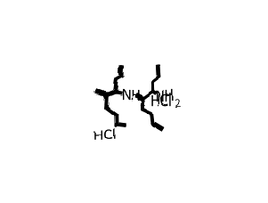 C=CCCC(=C)C(N)CC=C.C=CCCC(=C)C(N)CC=C.Cl.Cl